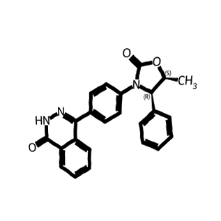 C[C@@H]1OC(=O)N(c2ccc(-c3n[nH]c(=O)c4ccccc34)cc2)[C@@H]1c1ccccc1